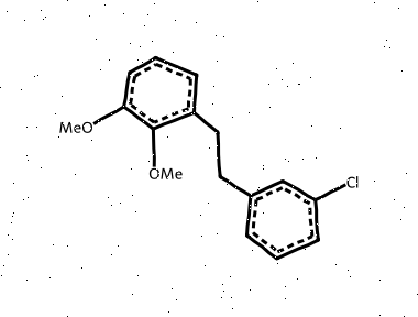 COc1cccc(CCc2cccc(Cl)c2)c1OC